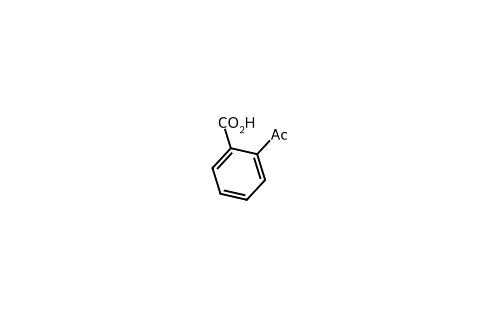 CC(=O)c1ccccc1C(=O)O